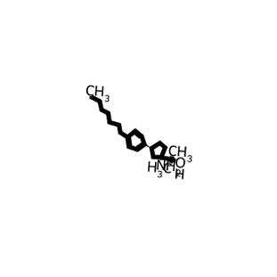 CCCCCCCCc1ccc([C@@H]2CC[C@](N)(C(C)(C)O)C2)cc1